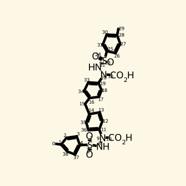 Cc1ccc(S(=O)(=O)NN(C(=O)O)c2ccc(Cc3ccc(N(NS(=O)(=O)c4ccc(C)cc4)C(=O)O)cc3)cc2)cc1